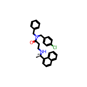 C[C@@H](NCCC(=O)N(Cc1ccccc1)Cc1ccc(Cl)cc1)c1cccc2ccccc12